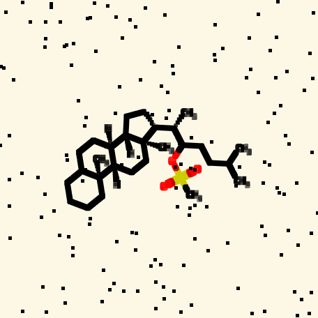 CC(C)CCC(OS(C)(=O)=O)[C@@H](C)[C@H]1CC[C@H]2[C@@H]3CCC4CCCC[C@]4(C)[C@H]3CC[C@]12C